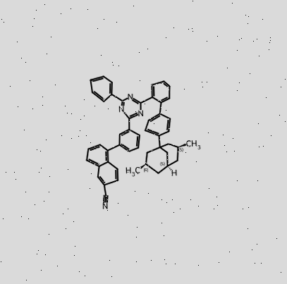 C[C@@H]1C[C@@H]2C[C@H](C)CC(c3ccc(-c4ccccc4-c4nc(-c5ccccc5)nc(-c5cccc(-c6cccc7cc(C#N)ccc67)c5)n4)cc3)(C1)C2